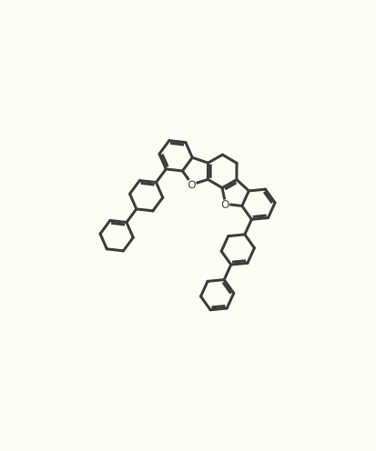 C1=CCCC(C2=CCC(C3=CC=CC4C5=C(OC34)C3=C(CC5)C4C=CC=C(C5=CCC(C6=CCCCC6)CC5)C4O3)CC2)=C1